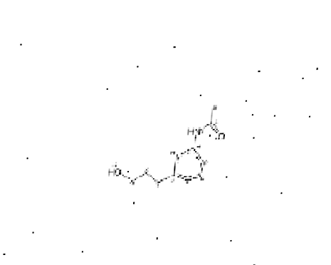 CC(=O)Nc1cccc(CCCO)c1